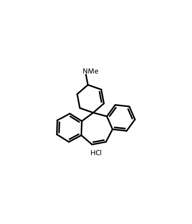 CNC1C=CC2(CC1)c1ccccc1C=Cc1ccccc12.Cl